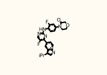 CC(C)c1cnn2ccc(-c3nc(Nc4ccc(N5CCOCC5=O)cc4F)ncc3F)cc12